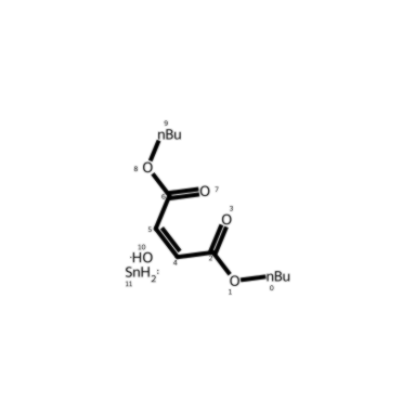 CCCCOC(=O)/C=C\C(=O)OCCCC.[OH].[SnH2]